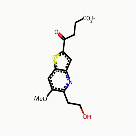 COc1cc2sc(C(=O)CCC(=O)O)cc2nc1CCO